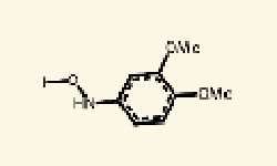 COc1ccc(NOI)cc1OC